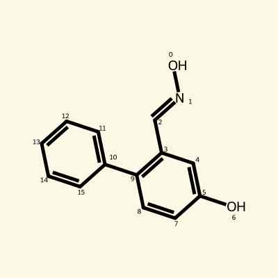 ON=Cc1cc(O)ccc1-c1ccccc1